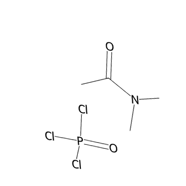 CC(=O)N(C)C.O=P(Cl)(Cl)Cl